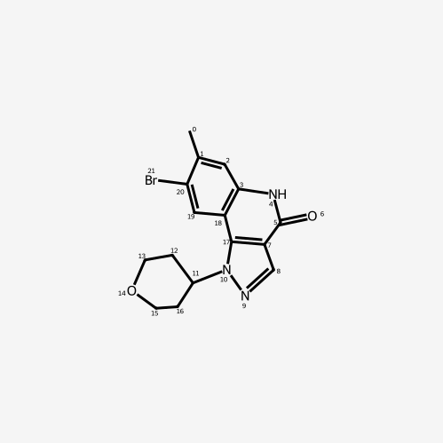 Cc1cc2[nH]c(=O)c3cnn(C4CCOCC4)c3c2cc1Br